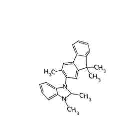 Cc1cc2c(cc1N1c3ccccc3N(C)C1C)C(C)(C)c1ccccc1-2